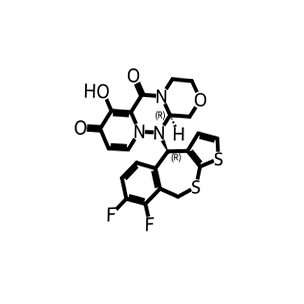 O=C1c2c(O)c(=O)ccn2N([C@H]2c3ccsc3SCc3c2ccc(F)c3F)[C@@H]2COCCN12